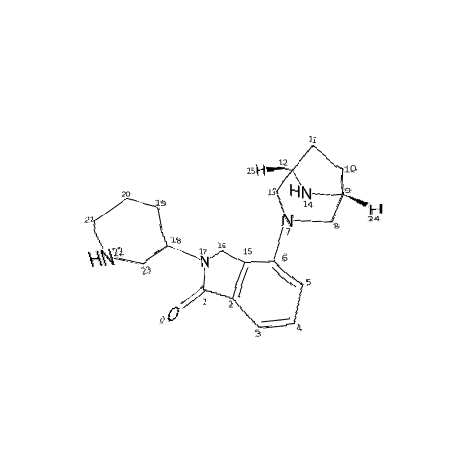 O=C1c2cccc(N3C[C@H]4CC[C@@H](C3)N4)c2CN1C1CCCNC1